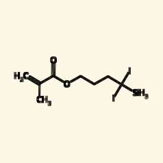 C=C(C)C(=O)OCCCC([SiH3])(I)I